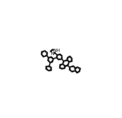 c1ccc(-c2cc(-c3ccccc3)cc(-c3cc(-c4c5ccccc5c(-c5ccc6ccccc6c5)c5ccccc45)ccc3-c3ncc[nH]3)c2)cc1